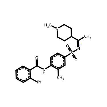 C/C(=N/S(=O)(=O)c1ccc(NC(=O)c2ccccc2C(C)C)c(C)c1)C1CCN(C)CC1